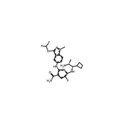 C[C@H](N)[C@H](Nc1nc(Nc2ccc3c(c2)c(OC(F)F)nn3C)c(C(N)=O)cc1F)C1CCC1